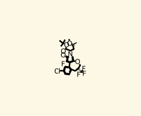 CO[C@@H](C)CC(C(=O)OC(C)(C)C)n1cc2c(cc1=O)-c1c(ccc(Cl)c1F)C[C@@H](C(F)(F)F)CO2